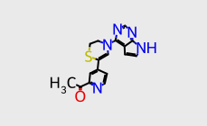 CC(=O)c1cc(C2=CN(c3ncnc4[nH]ccc34)CCS2)ccn1